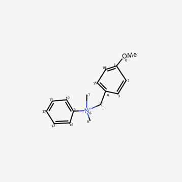 COc1ccc(C[N+](C)(C)c2ccccc2)cc1